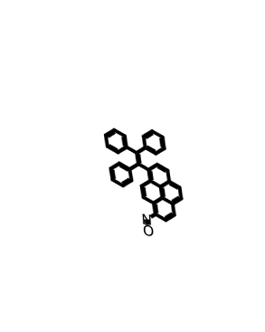 O=Nc1ccc2ccc3ccc(C(=C(c4ccccc4)c4ccccc4)c4ccccc4)c4ccc1c2c34